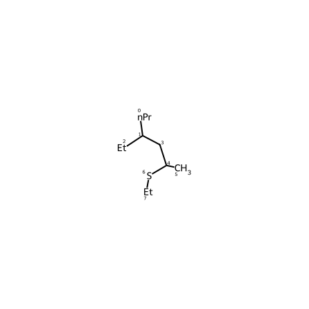 CCCC(CC)CC(C)SCC